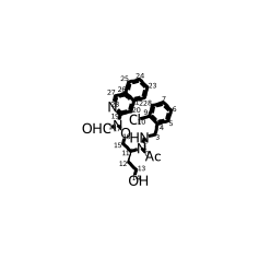 CC(=O)N(NCc1ccccc1Cl)[C@@H](CCO)CON(C=O)c1cc2ccccc2cn1